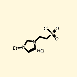 CCN1C=CN(CCS(=O)(=O)Cl)C1.Cl